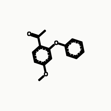 COc1ccc(C(C)=O)c(Oc2ccccc2)c1